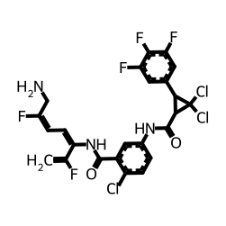 C=C(F)/C(=C\C=C(\F)CN)NC(=O)c1cc(NC(=O)C2C(c3cc(F)c(F)c(F)c3)C2(Cl)Cl)ccc1Cl